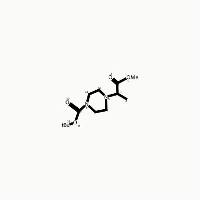 COC(=O)C(C)N1CCN(C(=O)OC(C)(C)C)CC1